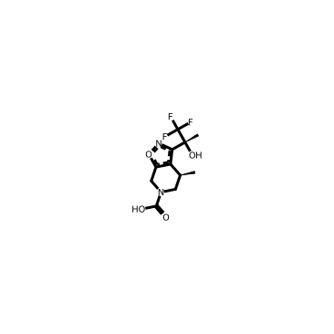 C[C@H]1CN(C(=O)O)Cc2onc([C@@](C)(O)C(F)(F)F)c21